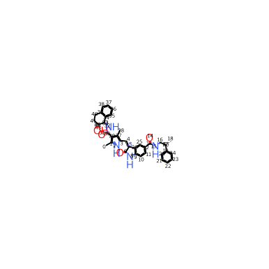 Cc1[nH]c(/C=C2\C(=O)Nc3ccc(C(=O)NC[C@H](C)c4ccccc4)cc32)c(C)c1C(=O)N[C@H]1c2ccccc2CC[C@H]1O